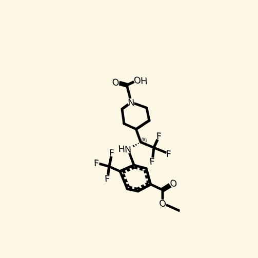 COC(=O)c1ccc(C(F)(F)F)c(N[C@H](C2CCN(C(=O)O)CC2)C(F)(F)F)c1